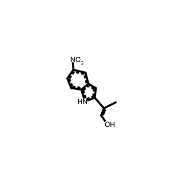 C/C(=C\O)c1cc2cc([N+](=O)[O-])ccc2[nH]1